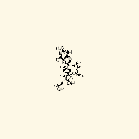 NC(=O)CCC(=O)NO.Nc1nc(=O)c2nc(CNc3ccc(C(=O)N[C@@H](CCC(=O)O)C(=O)O)cc3)cnc2[nH]1